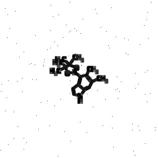 Cc1cc2[nH]ccc2c(B2OC(C)(C)C(C)(C)O2)c1C